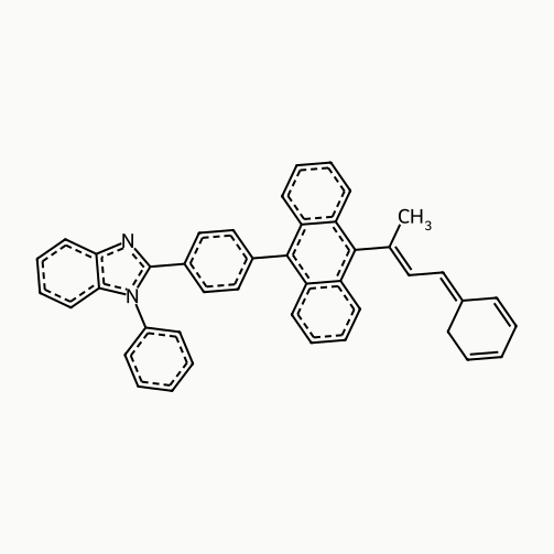 C/C(=C\C=C1\C=CC=CC1)c1c2ccccc2c(-c2ccc(-c3nc4ccccc4n3-c3ccccc3)cc2)c2ccccc12